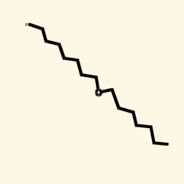 [CH2]CCCCCCCOCCCCCCC